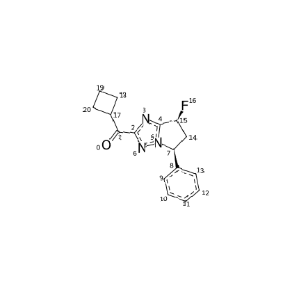 O=C(c1nc2n(n1)[C@H](c1ccccc1)C[C@@H]2F)C1CCC1